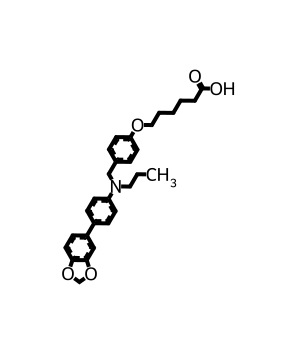 CCCN(Cc1ccc(OCCCCCC(=O)O)cc1)c1ccc(-c2ccc3c(c2)OCO3)cc1